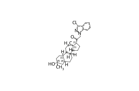 C[C@@]1(O)CC[C@H]2[C@H](CC[C@@H]3[C@@H]2CC[C@]2(C)[C@@H](C(=O)Cn4nc(Cl)c5ccccc54)CC[C@@H]32)C1